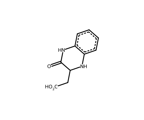 O=C(O)CC1Nc2ccccc2NC1=O